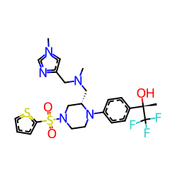 CN(Cc1cn(C)cn1)C[C@H]1CN(S(=O)(=O)c2cccs2)CCN1c1ccc([C@](C)(O)C(F)(F)F)cc1